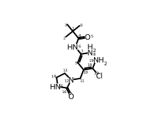 CC(C)(C)C(=O)N/C(N)=C/C(CN1CCNC1=O)=C(\N)Cl